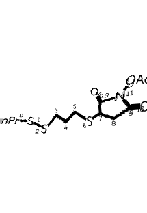 CCCSSCCCSC1CC(=O)N(OC(C)=O)C1=O